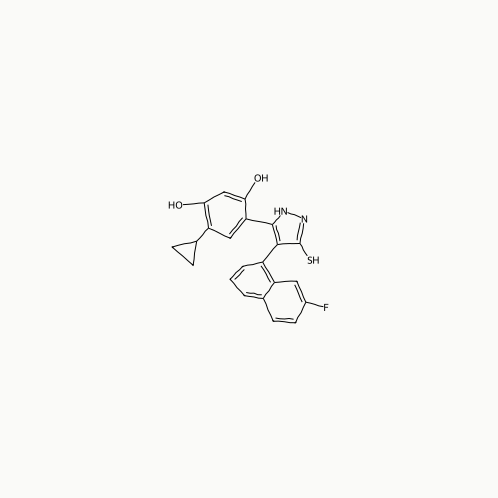 Oc1cc(O)c(C2CC2)cc1-c1[nH]nc(S)c1-c1cccc2ccc(F)cc12